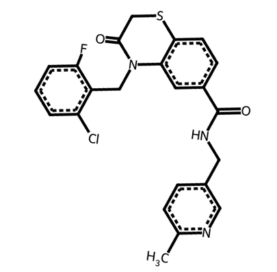 Cc1ccc(CNC(=O)c2ccc3c(c2)N(Cc2c(F)cccc2Cl)C(=O)CS3)cn1